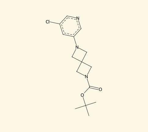 CC(C)(C)OC(=O)N1CC2(C1)CN(c1cncc(Cl)c1)C2